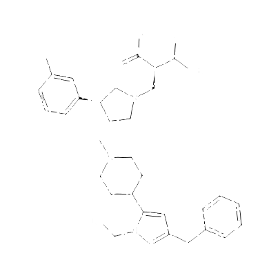 CCn1nc(Cc2ccccc2)cc1C1CCN(C[C@H]2CN(C[C@@H](C(=O)O)C(C)C)C[C@@H]2c2cccc(F)c2)CC1